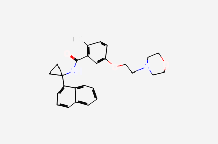 Cc1ccc(OCCN2CCOCC2)cc1C(=O)NC1(c2cccc3ccccc23)CC1